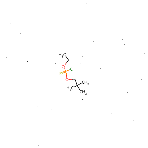 CCOP(=S)(Cl)OCC(C)(C)C